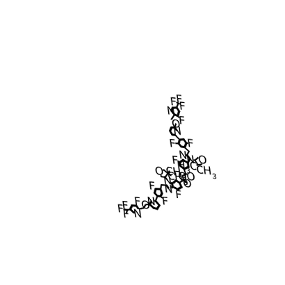 CC1(C)COCC1n1c(Cc2cc(F)c(-c3cccc(OCc4ncc(C(F)(F)F)cc4F)n3)cc2F)nc2c(F)cc(C(=O)OC(=O)c3cc(F)c4nc(Cc5cc(F)c(-c6cccc(OCc7ncc(C(F)(F)F)cc7F)n6)cc5F)n(C5COCC5(C)C)c4c3)cc21